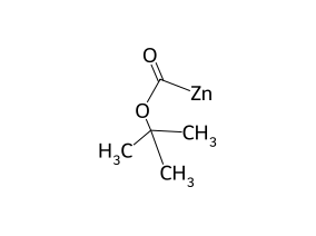 CC(C)(C)O[C](=O)[Zn]